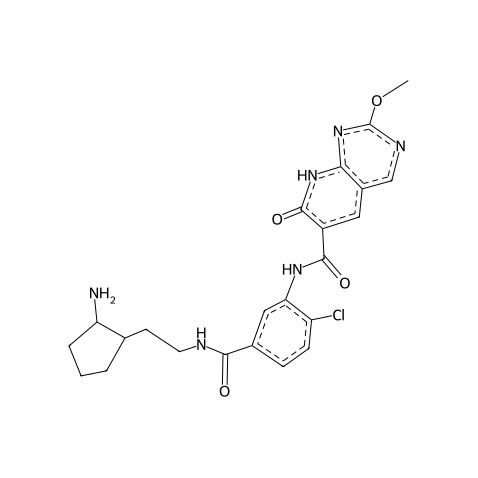 COc1ncc2cc(C(=O)Nc3cc(C(=O)NCCC4CCCC4N)ccc3Cl)c(=O)[nH]c2n1